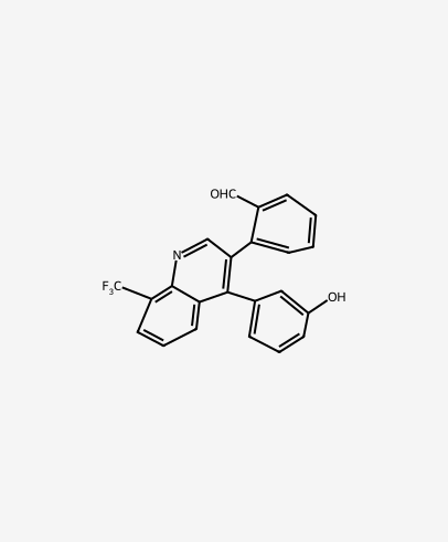 O=Cc1ccccc1-c1cnc2c(C(F)(F)F)cccc2c1-c1cccc(O)c1